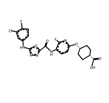 O=C(Nc1ccc(O[C@H]2CC[C@@H](C(=O)O)CC2)nc1F)c1nnc(Nc2ccc(F)c(Cl)c2)o1